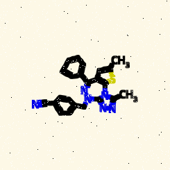 Cc1cc2c(s1)-n1c(C)nnc1N(Cc1ccc(C#N)cc1)N=C2c1ccccc1